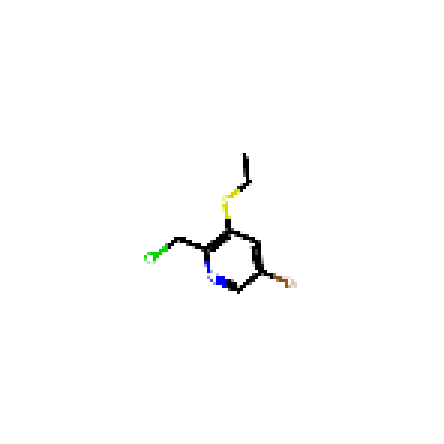 CCSc1cc(Br)cnc1CCl